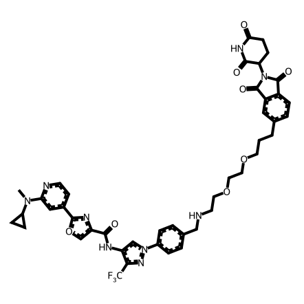 CN(c1cc(-c2nc(C(=O)Nc3cn(-c4ccc(CNCCOCCOCCCc5ccc6c(c5)C(=O)N(C5CCC(=O)NC5=O)C6=O)cc4)nc3C(F)(F)F)co2)ccn1)C1CC1